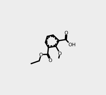 CCOC(=O)c1cccc(C(=O)O)c1OC